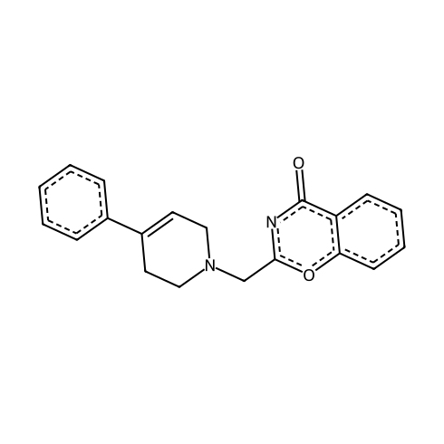 O=c1nc(CN2CC=C(c3ccccc3)CC2)oc2ccccc12